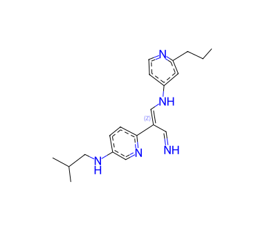 CCCc1cc(N/C=C(\C=N)c2ccc(NCC(C)C)cn2)ccn1